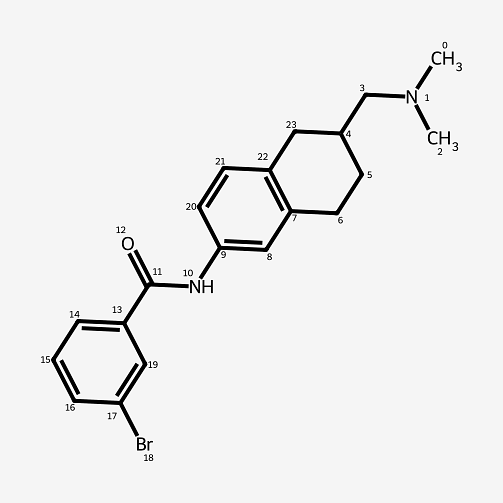 CN(C)CC1CCc2cc(NC(=O)c3cccc(Br)c3)ccc2C1